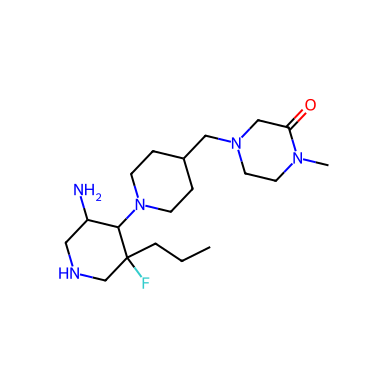 CCCC1(F)CNCC(N)C1N1CCC(CN2CCN(C)C(=O)C2)CC1